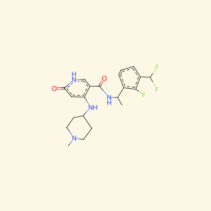 CC(NC(=O)c1c[nH]c(=O)cc1NC1CCN(C)CC1)c1cccc(C(F)F)c1F